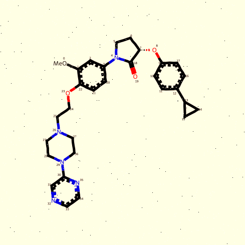 COc1cc(N2CC[C@H](Oc3ccc(C4CC4)cc3)C2=O)ccc1OCCN1CCN(c2cnccn2)CC1